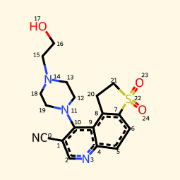 N#Cc1cnc2ccc3c(c2c1N1CCN(CCO)CC1)CCS3(=O)=O